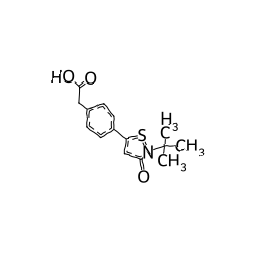 CC(C)(C)n1sc(-c2ccc(CC(=O)O)cc2)cc1=O